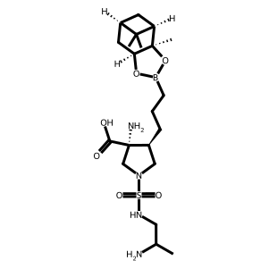 CC(N)CNS(=O)(=O)N1C[C@H](CCCB2O[C@H]3C[C@H]4C[C@H](C4(C)C)[C@@]3(C)O2)[C@](N)(C(=O)O)C1